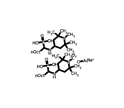 CC(=O)[O-].CCCCCCCCC(NC1CC(C)(C)N(C)C(C)(C)C1)P(=O)(O)O.CCCCCCCCC(NC1CC(C)(C)N(C)C(C)(C)C1)P(=O)(O)O.[Na+]